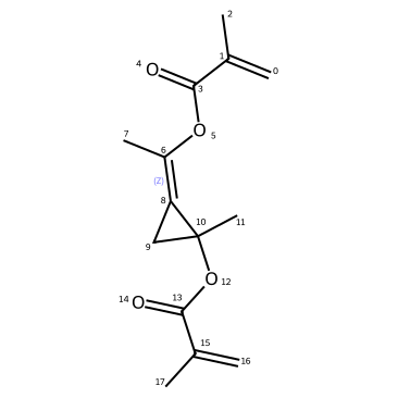 C=C(C)C(=O)O/C(C)=C1/CC1(C)OC(=O)C(=C)C